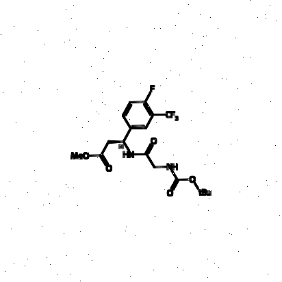 COC(=O)C[C@H](NC(=O)CNC(=O)OC(C)(C)C)c1ccc(F)c(C(F)(F)F)c1